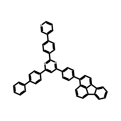 c1ccc(-c2ccc(-c3cc(-c4ccc(-c5ccc6c7c(cccc57)-c5ccccc5-6)cc4)nc(-c4ccc(-c5cccnc5)cc4)n3)cc2)cc1